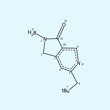 BN1Cc2cc(CC(C)(C)C)ncc2C1=O